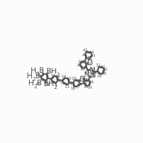 Bc1c(B)c(B)c(-c2ccc(-c3ccc(-c4ccc5c(c4)oc4c(-c6nc(-c7ccccc7)nc(-c7cccc8c7oc7ccccc78)n6)cccc45)cc3)cc2)c(B)c1B